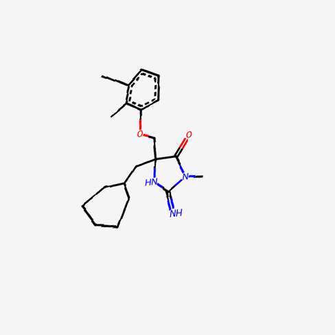 Cc1cccc(OCC2(CC3CCCCC3)NC(=N)N(C)C2=O)c1C